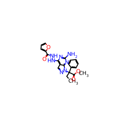 CCC(C(=O)OC)(c1ccccc1)n1ncc2c(NNC(=O)c3ccco3)nc(N)nc21